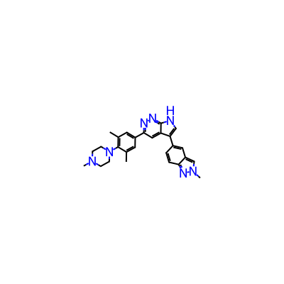 Cc1cc(-c2cc3c(-c4ccc5nn(C)cc5c4)c[nH]c3nn2)cc(C)c1N1CCN(C)CC1